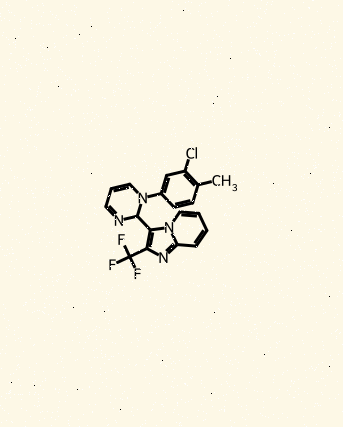 Cc1ccc(N2C=CC=NC2c2c(C(F)(F)F)nc3ccccn23)cc1Cl